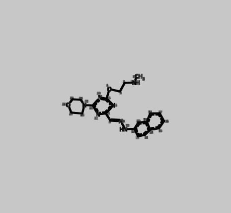 CNCCOc1nc(/C=N/Nc2ccc3ccccc3c2)nc(N2CCOCC2)n1